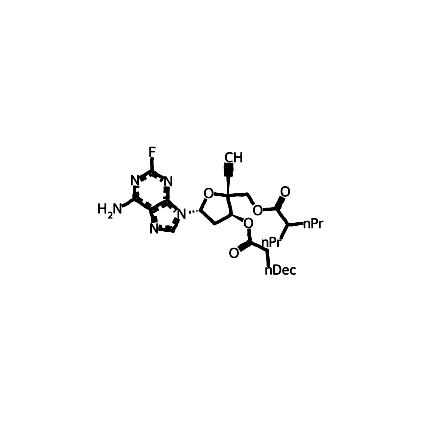 C#C[C@]1(COC(=O)C(CCC)CCC)O[C@@H](n2cnc3c(N)nc(F)nc32)C[C@@H]1OC(=O)CCCCCCCCCCC